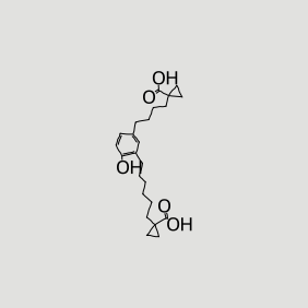 O=C(O)C1(CCCCCCc2cc(CCCCC3(C(=O)O)CC3)ccc2O)CC1